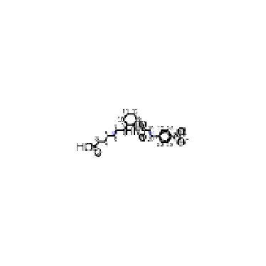 O=C(O)CCC/C=C/CC1CCCCC1NS(=O)(=O)/C=C/c1ccc([N+](=O)[O-])cc1